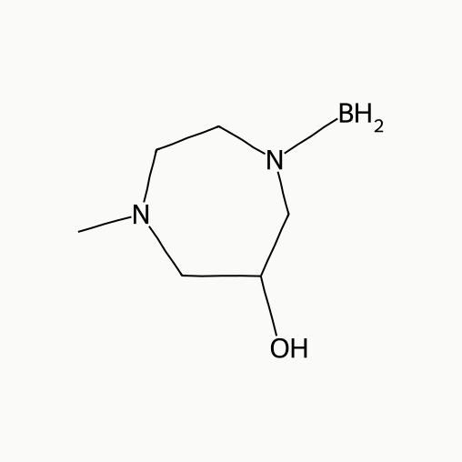 BN1CCN(C)CC(O)C1